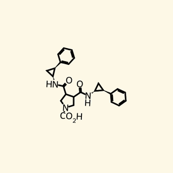 O=C(N[C@@H]1C[C@H]1c1ccccc1)C1CN(C(=O)O)CC1C(=O)N[C@@H]1C[C@H]1c1ccccc1